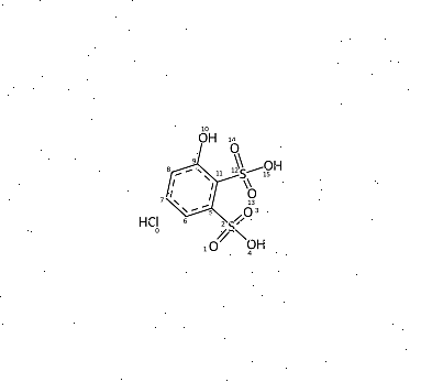 Cl.O=S(=O)(O)c1cccc(O)c1S(=O)(=O)O